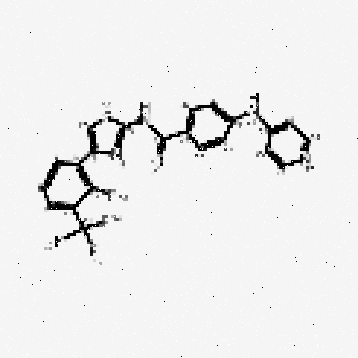 O=C(Nc1nc(-c2cccc(C(F)(F)F)c2F)cs1)c1ccc(Nc2ccncc2)cc1